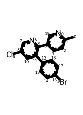 Cc1ccc(-c2ncc(Cl)cc2-c2ccc(Br)cc2)cn1